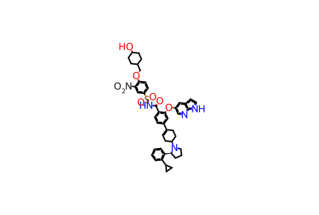 O=C(NS(=O)(=O)c1ccc(OCC2CCC(O)CC2)c([N+](=O)[O-])c1)c1ccc(C2=CCC(N3CCC[C@H]3c3ccccc3C3CC3)CC2)cc1Oc1cnc2[nH]ccc2c1